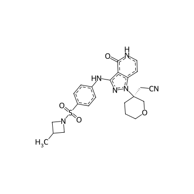 CC1CN(S(=O)(=O)c2ccc(Nc3nn([C@]4(CC#N)CCCOC4)c4cc[nH]c(=O)c34)cc2)C1